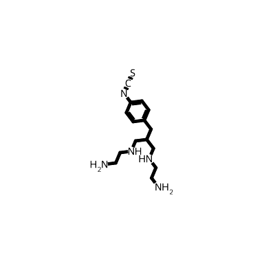 NCCNCC(CNCCN)Cc1ccc(N=C=S)cc1